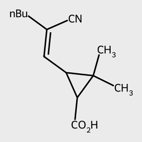 CCCCC(C#N)=CC1C(C(=O)O)C1(C)C